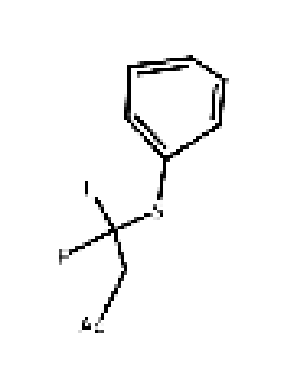 CC(=O)CC(F)(F)Sc1ccccc1